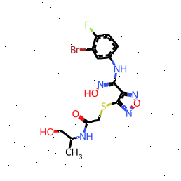 CC(CO)NC(=O)CSc1nonc1C(=NO)Nc1ccc(F)c(Br)c1